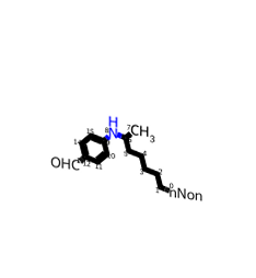 CCCCCCCCCCCCCCC(C)Nc1ccc(C=O)cc1